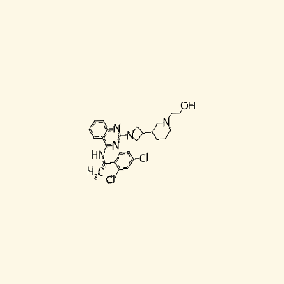 C[C@@H](Nc1nc(N2CC(C3CCCN(CCO)C3)C2)nc2ccccc12)c1ccc(Cl)cc1Cl